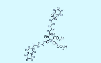 O=C(O)COC(C(=O)O)C(OCCCCCc1ccc2ccccc2c1)C(=O)NCCCCCc1nc2ccccc2o1